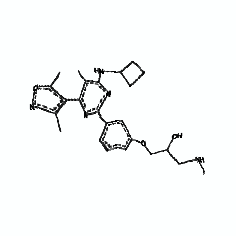 CNCC(O)COc1cccc(-c2nc(NC3CCC3)c(C)c(-c3c(C)noc3C)n2)c1